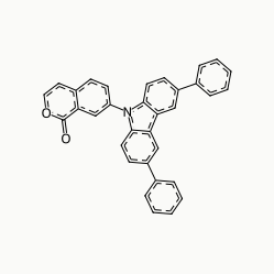 O=c1occc2ccc(-n3c4ccc(-c5ccccc5)cc4c4cc(-c5ccccc5)ccc43)cc12